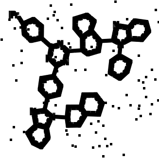 CC(C)c1ccc(-c2nc(-c3ccc(-c4nc5ccccc5n4-c4ccc5ccccc5c4)cc3)nc(-c3ccc(-c4nc5ccccc5n4-c4ccccc4)c4ccccc34)n2)cc1